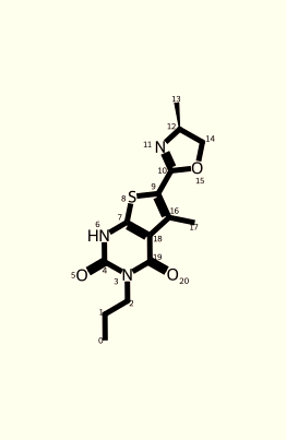 CCCn1c(=O)[nH]c2sc(C3=N[C@@H](C)CO3)c(C)c2c1=O